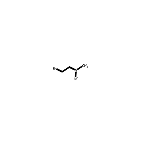 CN(Br)CCBr